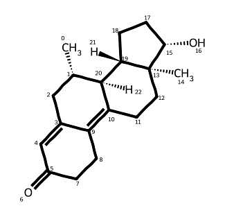 C[C@H]1CC2=CC(=O)CCC2=C2CC[C@]3(C)[C@@H](O)CC[C@H]3[C@@H]21